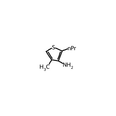 CCCc1scc(C)c1N